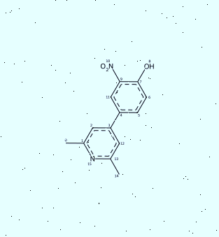 Cc1cc(-c2ccc(O)c([N+](=O)[O-])c2)cc(C)n1